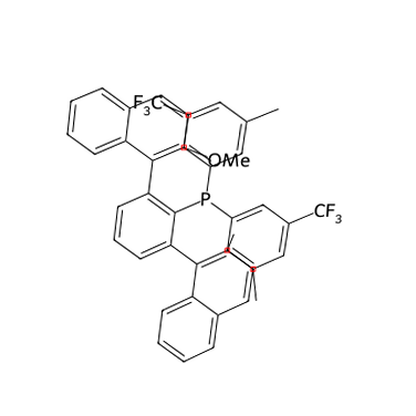 COc1ccc2ccccc2c1-c1cccc(-c2c(C)ccc3ccccc23)c1P(c1cc(C)cc(C(F)(F)F)c1)c1cc(C)cc(C(F)(F)F)c1